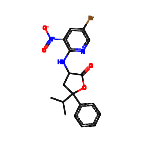 CC(C)C1(c2ccccc2)CC(Nc2ncc(Br)cc2[N+](=O)[O-])C(=O)O1